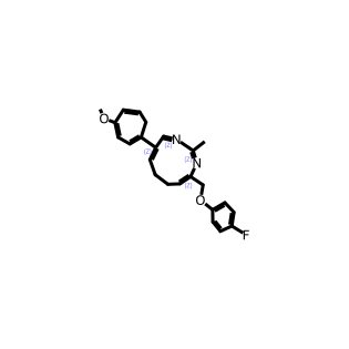 COC1=CC=C(C2=C\CC\C=C(COc3ccc(F)cc3)/N=C(C)\N=C/2)CC=C1